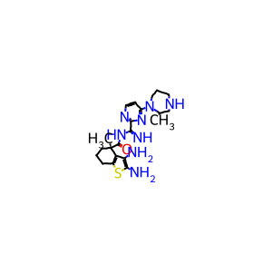 C[C@H]1CNCCCN1c1ccnc(C(=N)NC(=O)[C@@]2(C)CCCc3sc(N)c(N)c32)n1